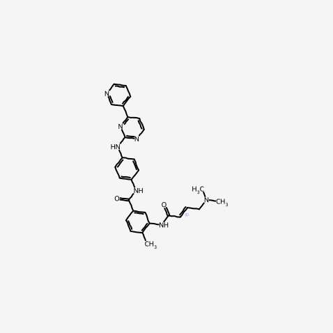 Cc1ccc(C(=O)Nc2ccc(Nc3nccc(-c4cccnc4)n3)cc2)cc1NC(=O)/C=C/CN(C)C